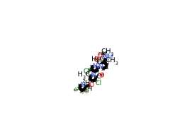 [2H]C([2H])(OC1=C(Cl)C(=C=O)N(c2cc(N3C=CC=C(C(C)(C)NC(C)=O)C3=C=O)ncc2Cl)C(C)=C1)c1ncc(F)cc1F